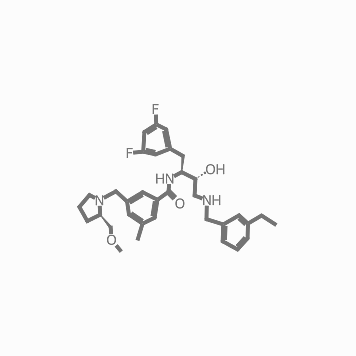 CCc1cccc(CNC[C@@H](O)[C@H](Cc2cc(F)cc(F)c2)NC(=O)c2cc(C)cc(CN3CCC[C@@H]3COC)c2)c1